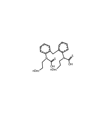 CCCCCCCCCCCCN(C(O)=S)c1ccccc1Cc1ccccc1N(CCCCCCCCCCCC)C(O)=S